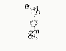 COC(=O)c1ccc(C2CC(Br)=NO2)cc1